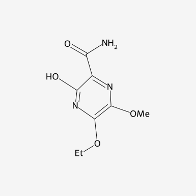 CCOc1nc(O)c(C(N)=O)nc1OC